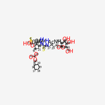 CO[C@H]1C(OP(O)(=S)OC)[C@@H](COC(=O)OCc2ccccc2)C[C@H]1NC(=S)NCCCCO[C@@H]1O[C@H](CO)[C@H](O)[C@H](O)[C@H]1NC(C)=O